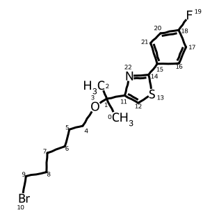 CC(C)(OCCCCCCBr)c1csc(-c2ccc(F)cc2)n1